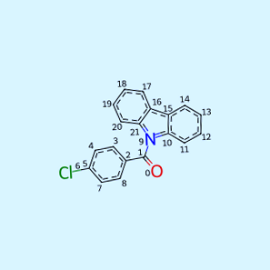 O=C(c1ccc(Cl)cc1)n1c2ccccc2c2ccccc21